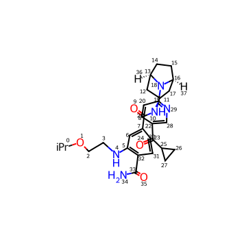 CC(C)OCCNc1cc(C(=O)N[C@H]2C[C@H]3CC[C@@H](C2)N3c2ccc(C(=O)C3CC3)cn2)ccc1C(N)=O